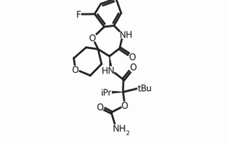 CC(C)[C@@](OC(N)=O)(C(=O)N[C@@H]1C(=O)Nc2cccc(F)c2OC12CCOCC2)C(C)(C)C